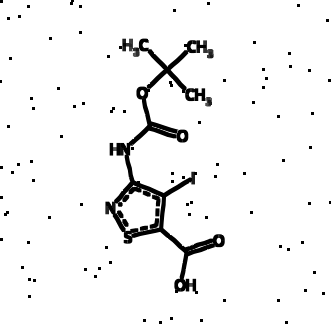 CC(C)(C)OC(=O)Nc1nsc(C(=O)O)c1I